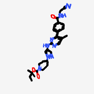 CCC(C)(C)OC(=O)N1CCC(n2cc(Nc3ncc(C)c(-c4ccc(C(=O)NCC#N)cc4)n3)cn2)CC1